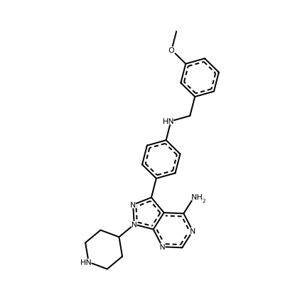 COc1cccc(CNc2ccc(-c3nn(C4CCNCC4)c4ncnc(N)c34)cc2)c1